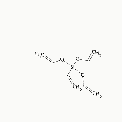 C=CO[Si](C=C)(OC=C)OC=C